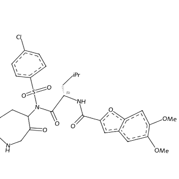 COc1cc2cc(C(=O)N[C@@H](CC(C)C)C(=O)N(C3CCCNCC3=O)S(=O)(=O)c3ccc(Cl)cc3)oc2cc1OC